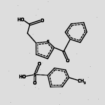 Cc1ccc(S(=O)(=O)O)cc1.O=C(O)Cc1ccc(C(=O)c2ccccc2)s1